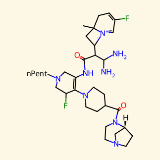 CCCCCN1CC(NC(=O)C(C(N)N)C2CC3(C)CC=C(F)C=[N+]23)=C(N2CCC(C(=O)N3CCN4CC[C@@H]3C4)CC2)C(F)C1